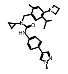 Cc1cc(N2CCC2)c(C(C)C)cc1CN(C(=O)Nc1ccc(-c2cnn(C)c2)cc1)C1CC1